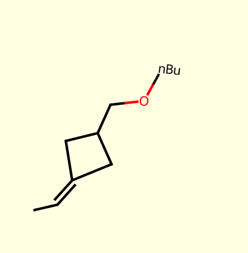 CC=C1CC(COCCCC)C1